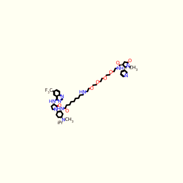 CC(C)N(C)[C@@H]1CC[C@H](N2CC[C@H](Nc3ncnc4ccc(C(F)(F)F)cc34)C2=O)[C@H](NC(=O)CCCCCCCCNCCOCCOCCOCCOCCNC(=O)[C@H]2CC(=O)N(C)[C@@H]2c2cccnc2)C1